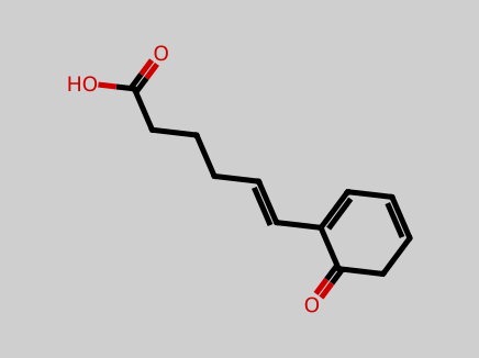 O=C(O)CCCC=CC1=CC=CCC1=O